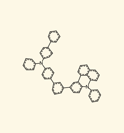 c1ccc(-c2ccc(N(c3ccccc3)c3ccc(-c4cccc(-c5ccc6c(c5)-c5cccc7cccc(c57)N6c5ccccc5)c4)cc3)cc2)cc1